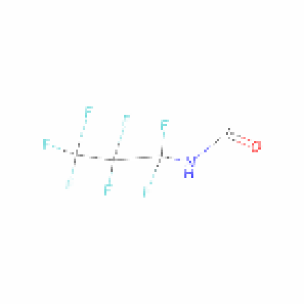 O=[C]NC(F)(F)C(F)(F)C(F)(F)F